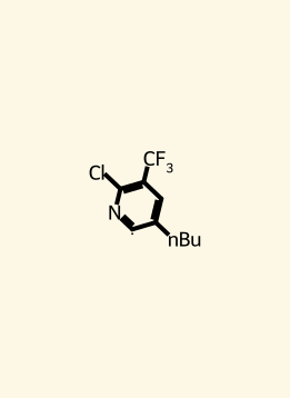 CCCCc1[c]nc(Cl)c(C(F)(F)F)c1